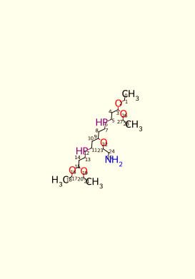 CCOC(CCPCCC(CCPCCC(OCC)OCC)OCCN)OCC